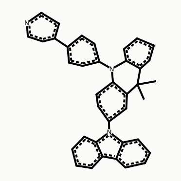 CC1(C)c2ccccc2N(c2ccc(-c3ccncc3)cc2)c2ccc(-n3c4ccccc4c4ccccc43)cc21